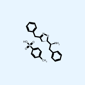 Cc1ccc(S(=O)(=O)O)cc1.N[C@@H](Cc1ccccc1)[C@@H]1CC(Cc2ccccc2)=NO1